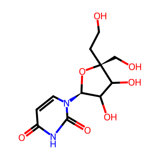 O=c1ccn([C@H]2O[C@](CO)(CCO)C(O)C2O)c(=O)[nH]1